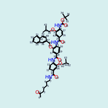 CC(=O)CCCCCNC(=O)c1ccc(NC(=O)c2ccc(NC(=O)c3ccc(NC(=O)OC(C)(C)C)c(OCC(C)C)c3)c(OCc3ccc4ccccc4c3)c2)c(OCC(C)C)c1